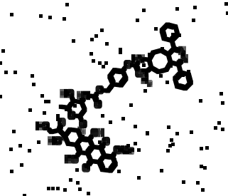 COc1cccc2c1C(=O)c1c(O)c3c(c(O)c1C2=O)C[C@@](O)(C(=O)CO)C[C@@H]3OC1CC(NC(=O)OCc2ccc(OC(=O)NC3CCC4C(c5ccccc5)=NN=C(c5ccccc5)C4CCC3N)cc2)C(O)C(C)O1